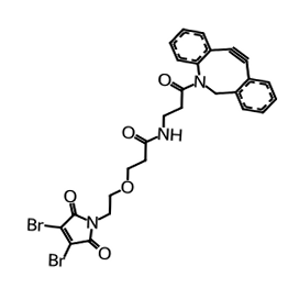 O=C(CCOCCN1C(=O)C(Br)=C(Br)C1=O)NCCC(=O)N1Cc2ccccc2C#Cc2ccccc21